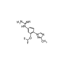 Cc1ncn(-c2ccc(NC(=N)N)cc2OC(F)F)n1